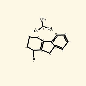 CN(C)C.[Ti][CH]1CCCC2=C1Cc1ccccc12